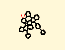 c1ccc(-c2ccc(-c3c4ccccc4c(-c4cccc5oc6ccc(-c7c8ccccc8c(-c8ccccc8)c8ccccc78)cc6c45)c4ccccc34)cc2)cc1